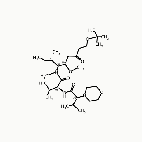 CC[C@H](C)[C@@H]([C@@H](CC(=O)CCOC(C)(C)C)OC)N(C)C(=O)[C@@H](NC(=O)[C@H](C(C)C)N1CCOCC1)C(C)C